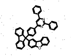 c1ccc(-c2cc(-c3ccc(C4(c5ccc6oc7ccccc7c6c5)c5ccccc5-c5ccccc54)cc3)nc(-c3ccccc3)n2)cc1